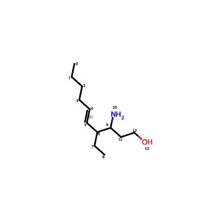 CCCC/C=C/C(CC)C(N)CCO